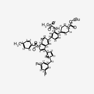 Cc1ccc(S(=O)(=O)n2cc(-c3ccn(Cc4cc(F)cc(F)c4)n3)c3cc(-c4ccc(C5=CCN(C(=O)OC(C)(C)C)CC5)c(NS(C)(=O)=O)c4)cnc32)cc1